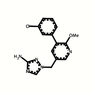 COc1ncc(Cn2cnc(N)n2)cc1-c1cccc(Cl)c1